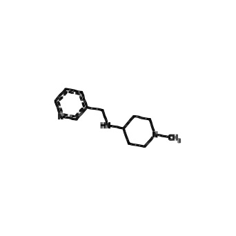 CN1CCC(NCc2cccnc2)CC1